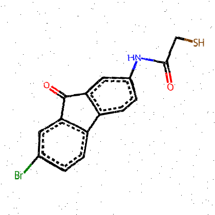 O=C(CS)Nc1ccc2c(c1)C(=O)c1cc(Br)ccc1-2